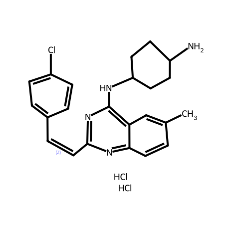 Cc1ccc2nc(/C=C\c3ccc(Cl)cc3)nc(NC3CCC(N)CC3)c2c1.Cl.Cl